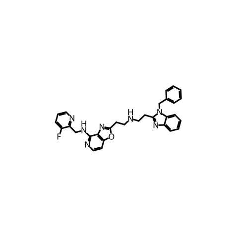 Fc1cccnc1CNc1nccc2oc(CCNCCc3nc4ccccc4n3Cc3ccccc3)nc12